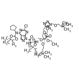 CCOP(=O)(OCC)[C@](COCC[Si](C)(C)C)(COCc1nnn(COCC[Si](C)(C)C)n1)OC[C@H]1O[C@@H](n2ncc3c(N(C(=O)OC(C)(C)C)C4CCCC4)nc(Cl)nc32)[C@@H]2OC(C)(C)O[C@@H]21